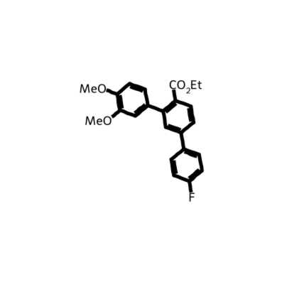 CCOC(=O)c1ccc(-c2ccc(F)cc2)cc1-c1ccc(OC)c(OC)c1